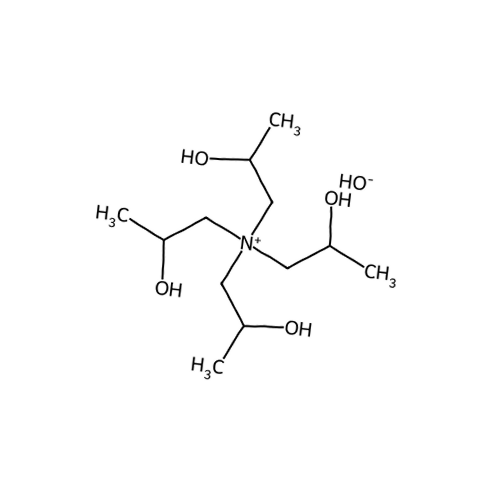 CC(O)C[N+](CC(C)O)(CC(C)O)CC(C)O.[OH-]